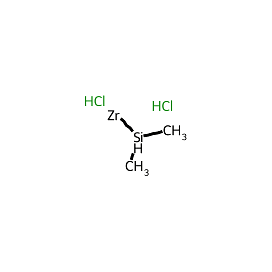 C[SiH](C)[Zr].Cl.Cl